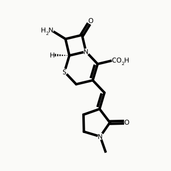 CN1CC/C(=C\C2=C(C(=O)O)N3C(=O)C(N)[C@@H]3SC2)C1=O